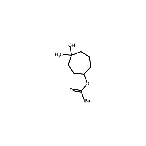 CCC(C)C(=O)OC1CCCC(C)(O)CC1